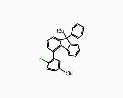 CC(C)(C)c1ccc(F)c(-c2cccc3c2-c2ccccc2C3(c2ccccc2)C(C)(C)C)c1